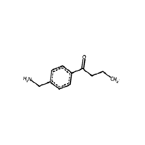 [CH2]CCC(=O)c1ccc(CN)cc1